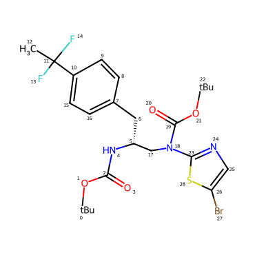 CC(C)(C)OC(=O)N[C@H](Cc1ccc(C(C)(F)F)cc1)CN(C(=O)OC(C)(C)C)c1ncc(Br)s1